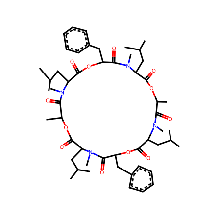 CC(C)CC1C(=O)OC(Cc2ccccc2)C(=O)N(C)C(CC(C)C)C(=O)OC(C)C(=O)N(C)C(CC(C)C)C(=O)OC(Cc2ccccc2)C(=O)N(C)C(CC(C)C)C(=O)OC(C)C(=O)N1C